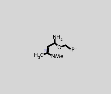 CN/C(C)=C\C(N)OCC(C)C